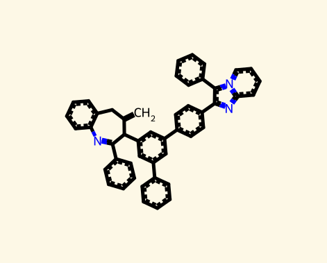 C=C1Cc2ccccc2N=C(c2ccccc2)C1c1cc(-c2ccccc2)cc(-c2ccc(-c3nc4ccccn4c3-c3ccccc3)cc2)c1